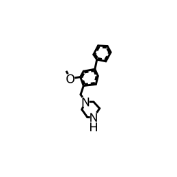 COc1cc(-c2ccccc2)ccc1CN1CCNCC1